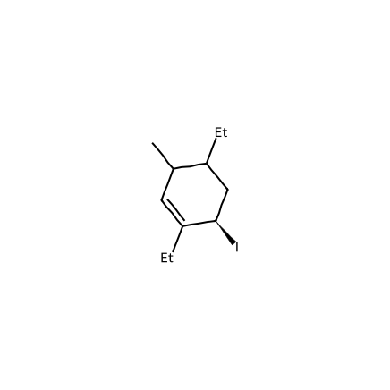 CCC1=CC(C)C(CC)C[C@H]1I